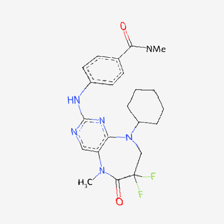 CNC(=O)c1ccc(Nc2ncc3c(n2)N(C2CCCCC2)CC(F)(F)C(=O)N3C)cc1